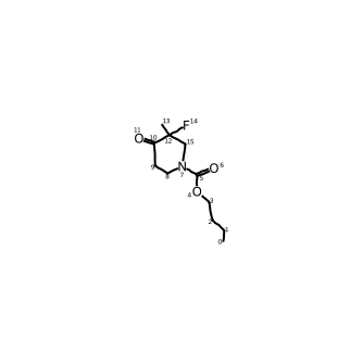 CCCCOC(=O)N1CCC(=O)C(C)(F)C1